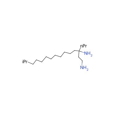 CCCC(N)(CCN)CCCCCCCCCCC(C)C